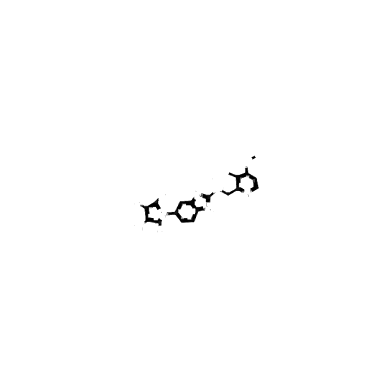 [2H]c1c([2H])c([2H])n(-c2ccc3[nH]c([S+]([O-])Cc4nccc(OC)c4C)nc3c2)c1[2H]